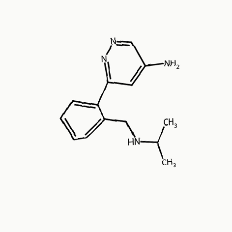 CC(C)NCc1ccccc1-c1cc(N)cnn1